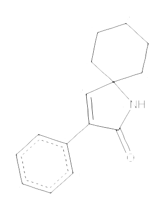 O=C1NC2(C=C1c1ccccc1)CCCCC2